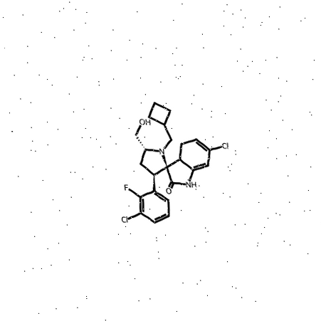 O=C1NC2=CC(Cl)=CCC2[C@@]12[C@@H](c1cccc(Cl)c1F)C[C@H](CO)N2CC1CCC1